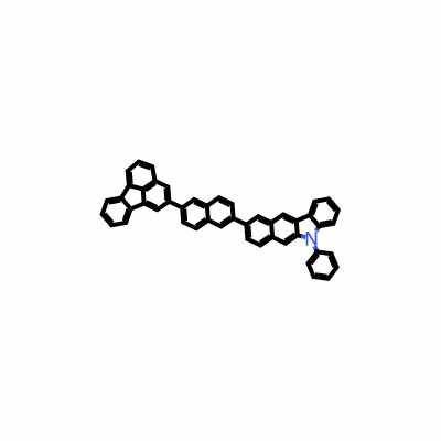 c1ccc(-n2c3ccccc3c3cc4cc(-c5ccc6cc(-c7cc8c9c(cccc9c7)-c7ccccc7-8)ccc6c5)ccc4cc32)cc1